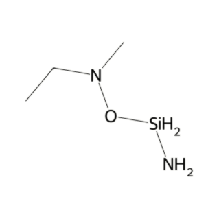 CCN(C)O[SiH2]N